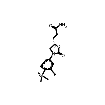 [CH3][Sn]([CH3])([CH3])[c]1ccc(N2C[C@H](CCC(N)=O)OC2=O)cc1F